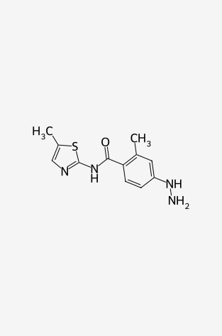 Cc1cnc(NC(=O)c2ccc(NN)cc2C)s1